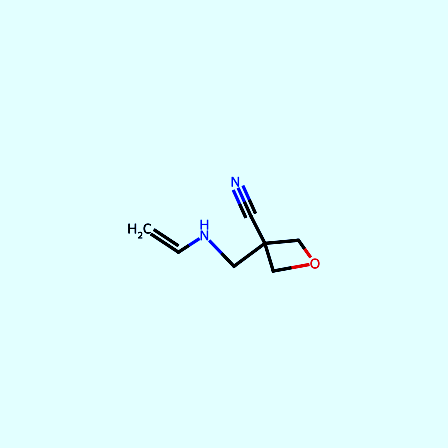 C=CNCC1(C#N)COC1